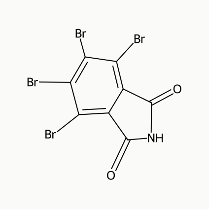 O=C1NC(=O)c2c(Br)c(Br)c(Br)c(Br)c21